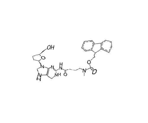 CN(CCCC(=O)NC1=NC2=C(CN1)NCN2[C@H]1CC[C@@H](CO)O1)C(=O)OCC1c2ccccc2-c2ccccc21